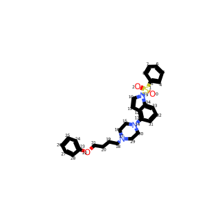 O=S(=O)(c1ccccc1)n1ccc2c(N3CCN(CCCCOc4ccccc4)CC3)cccc21